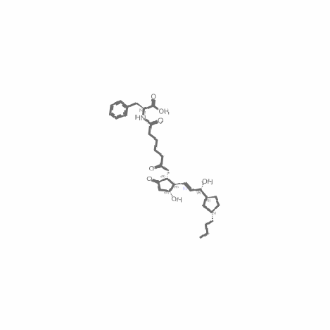 CCCC[C@H]1CC[C@H]([C@@H](O)/C=C/[C@H]2[C@H](O)CC(=O)[C@@H]2CC(=O)CCCCC(=O)N[C@@H](Cc2ccccc2)C(=O)O)C1